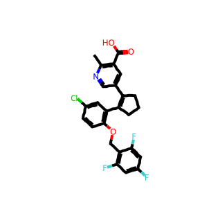 Cc1ncc(C2=C(c3cc(Cl)ccc3OCc3c(F)cc(F)cc3F)CCC2)cc1C(=O)O